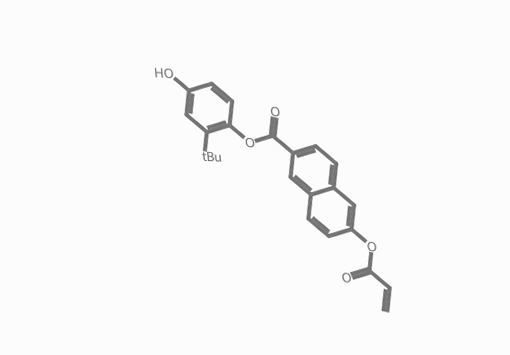 C=CC(=O)Oc1ccc2cc(C(=O)Oc3ccc(O)cc3C(C)(C)C)ccc2c1